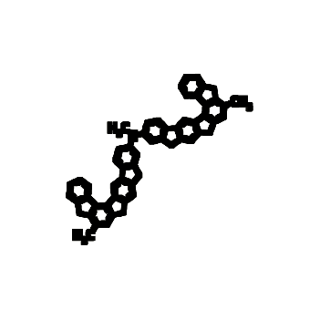 Cc1cc2c(c3c1Cc1ccccc1-3)-c1cc3c(cc1C2)Cc1cc(N(C)c2ccc4c(c2)Cc2cc5c(cc2-4)-c2c(cc(C)c4c2-c2ccccc2C4)C5)ccc1-3